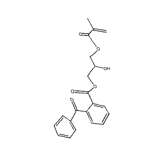 C=C(C)C(=O)OCC(O)COC(=O)c1ccccc1C(=O)c1ccccc1